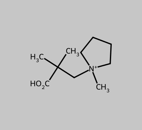 CC(C)(C[N+]1(C)CCCC1)C(=O)O